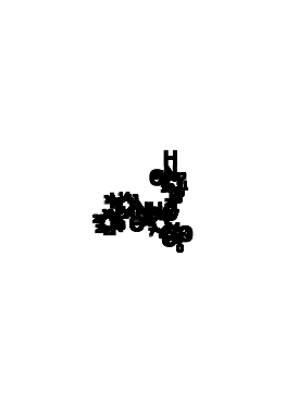 CS(=O)(=O)Cc1ccc(C(=O)Nc2ccc(I)c(-c3ccccn3)c2)cc1OCCN1CCNC(=O)C1